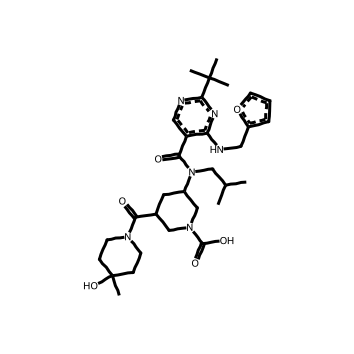 CC(C)CN(C(=O)c1cnc(C(C)(C)C)nc1NCc1ccco1)C1CC(C(=O)N2CCC(C)(O)CC2)CN(C(=O)O)C1